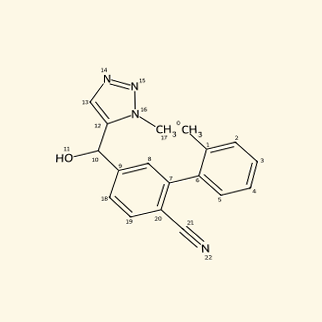 Cc1ccccc1-c1cc(C(O)c2cnnn2C)ccc1C#N